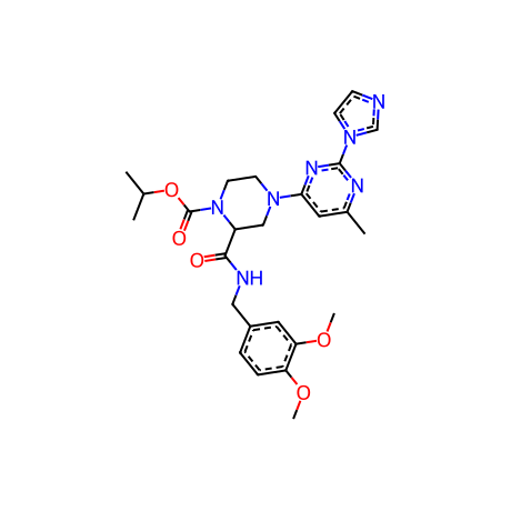 COc1ccc(CNC(=O)C2CN(c3cc(C)nc(-n4ccnc4)n3)CCN2C(=O)OC(C)C)cc1OC